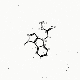 Cn1ncc2c1c1ccccc1n2CC(=O)OC(C)(C)C